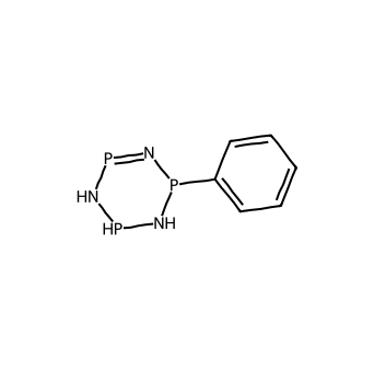 c1ccc(-p2np[nH][pH][nH]2)cc1